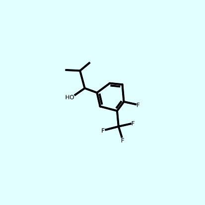 CC(C)C(O)c1ccc(F)c(C(F)(F)F)c1